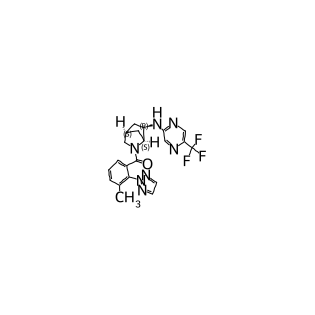 Cc1cccc(C(=O)N2C[C@H]3C[C@@H](Nc4cnc(C(F)(F)F)cn4)[C@@H]2C3)c1-n1nccn1